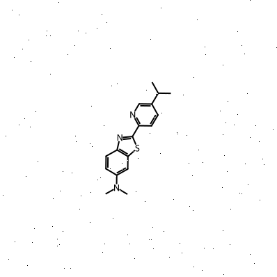 CC(C)c1ccc(-c2nc3ccc(N(C)C)cc3s2)nc1